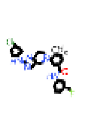 Cc1ccc(C(=O)Nc2cccc(CF)c2)cc1N1CCc2nc(Nc3ccc(Cl)cc3)ncc2C1